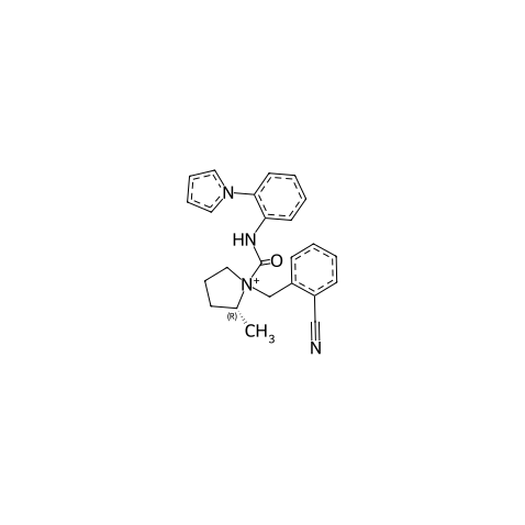 C[C@@H]1CCC[N+]1(Cc1ccccc1C#N)C(=O)Nc1ccccc1-n1cccc1